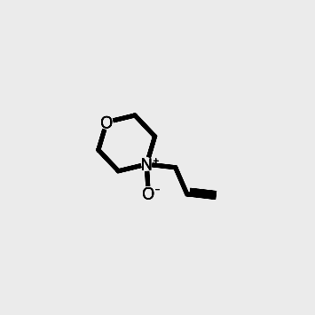 C=CC[N+]1([O-])CCOCC1